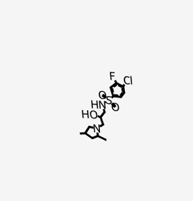 CC1CC(C)N(CC(O)CNS(=O)(=O)c2ccc(Cl)c(F)c2)C1